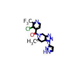 C[C@H]1Cc2c(nnn2-c2cc[nH]n2)CN1C(=O)c1ccnc(C(F)(F)F)c1Cl